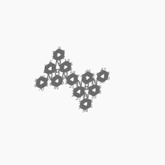 c1ccc(N2c3cccc4c3B3c5c2cccc5N(c2ccc(N5c6cccc7c6B6c8c(cccc8N(c8ccccc8)c8cccc5c86)N7c5ccccc5)cc2)c2cccc(c23)N4c2ccccc2)cc1